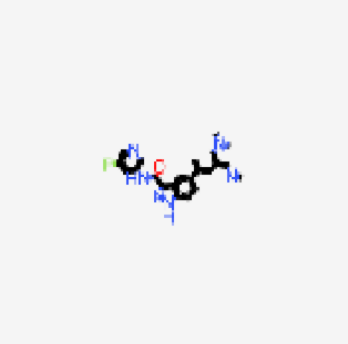 C=N/C=C(\C=C(/C)c1ccc2[nH]nc(C(=O)Nc3cncc(F)c3)c2c1)CN(C)C